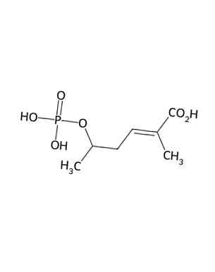 C/C(=C\CC(C)OP(=O)(O)O)C(=O)O